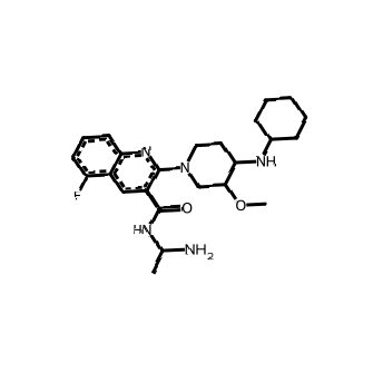 COC1CN(c2nc3cccc(F)c3cc2C(=O)NC(C)N)CCC1NC1CCCCC1